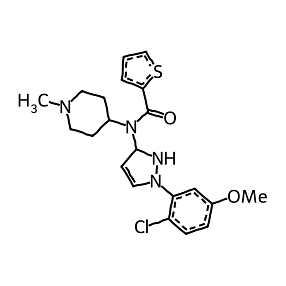 COc1ccc(Cl)c(N2C=CC(N(C(=O)c3cccs3)C3CCN(C)CC3)N2)c1